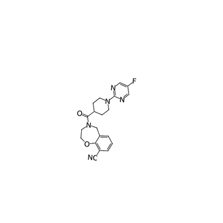 N#Cc1cccc2c1OCCN(C(=O)C1CCN(c3ncc(F)cn3)CC1)C2